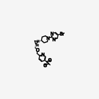 CS(=O)(=O)c1ccc(COC[C@@H]2C[C@@H]2C2CCN(c3ncc(Br)cn3)CC2)nc1